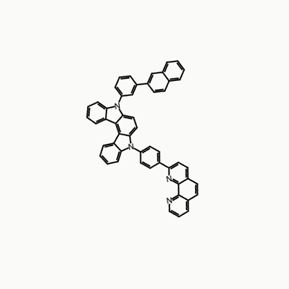 c1cc(-c2ccc3ccccc3c2)cc(-n2c3ccccc3c3c4c5ccccc5n(-c5ccc(-c6ccc7ccc8cccnc8c7n6)cc5)c4ccc32)c1